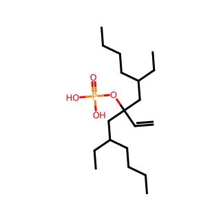 C=CC(CC(CC)CCCC)(CC(CC)CCCC)OP(=O)(O)O